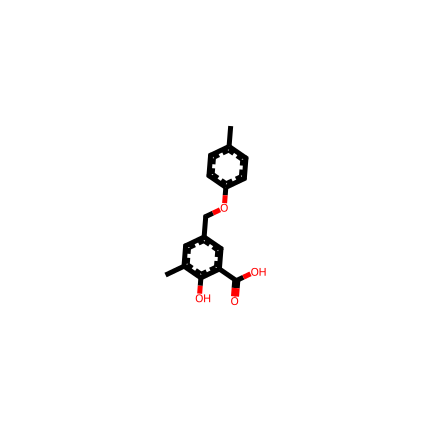 Cc1ccc(OCc2cc(C)c(O)c(C(=O)O)c2)cc1